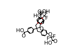 O=C(O)c1ccc(C(Cc2ccc(OC(F)(F)C(=O)O)cc2)(Cc2ccc(C(F)(F)P(=O)(O)O)cc2)C(=O)c2ccc(F)cc2)cc1